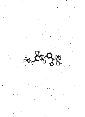 Cn1cnnc1[C@@H](c1cccc(-n2cc3c(C(F)(F)F)cc(CN4CC(F)(F)C4)cn3c2=O)c1)C1CCC1